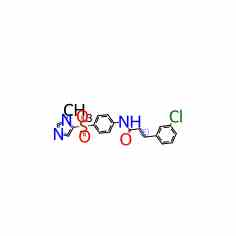 Cn1cncc1S(=O)(=O)c1ccc(NC(=O)/C=C/c2cccc(Cl)c2)cc1